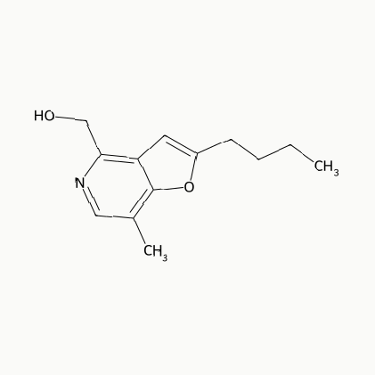 CCCCc1cc2c(CO)ncc(C)c2o1